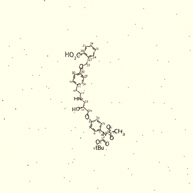 CC(C)(C)OC(=O)N(c1ccc(OCC(O)CNCCc2ccc(OCc3ccccc3C(=O)O)cc2)cc1)S(C)(=O)=O